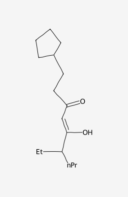 CCCC(CC)/C(O)=C/C(=O)CCC1CCCC1